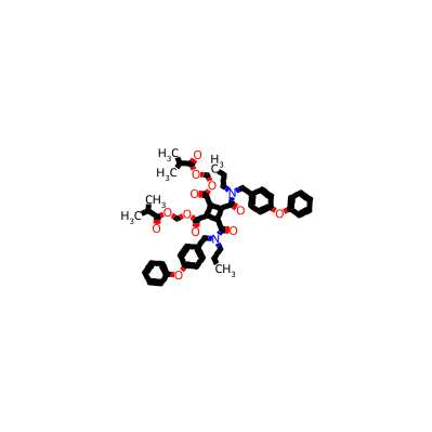 CCCN(Cc1ccc(Oc2ccccc2)cc1)C(=O)C1C(C(=O)OCOC(=O)C(C)C)C(C(=O)OCOC(=O)C(C)C)C1C(=O)N(CCC)Cc1ccc(Oc2ccccc2)cc1